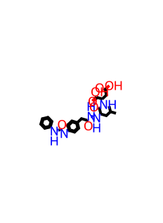 CC(C)CC(NNC(=O)Cc1ccc2nc(Nc3ccccc3)oc2c1)C(=O)NC(CC(=O)O)C(=O)O